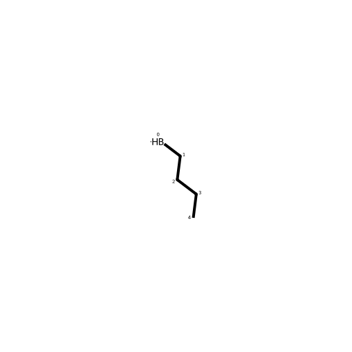 [BH]CCCC